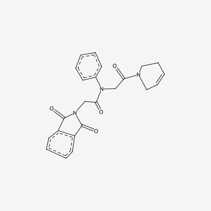 O=C(CN(C(=O)CN1C(=O)c2ccccc2C1=O)c1ccccc1)N1CC=CCC1